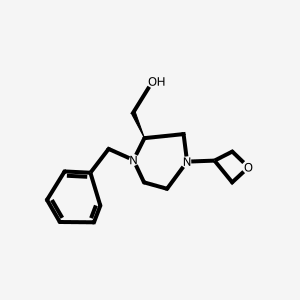 OC[C@H]1CN(C2COC2)CCN1Cc1ccccc1